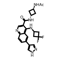 CC(=O)N[C@H]1C[C@H](NC(=O)c2cnc3ccc(-c4cn[nH]c4)cc3c2NC2CC(F)(F)C2)C1